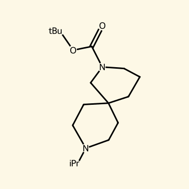 CC(C)N1CCC2(CCCN(C(=O)OC(C)(C)C)C2)CC1